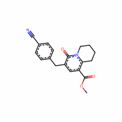 COC(=O)c1cc(Cc2ccc(C#N)cc2)c(=O)n2c1CCCC2